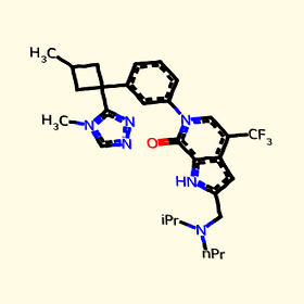 CCCN(Cc1cc2c(C(F)(F)F)cn(-c3cccc(C4(c5nncn5C)CC(C)C4)c3)c(=O)c2[nH]1)C(C)C